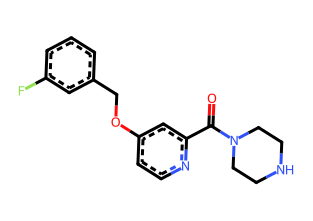 O=C(c1cc(OCc2cccc(F)c2)ccn1)N1CCNCC1